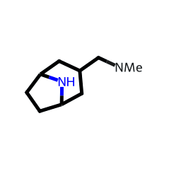 CNCC1CC2CCC(C1)N2